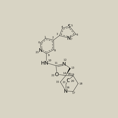 c1cc(-c2cscn2)cc(NC2=NC[C@@]3(CN4CCC3CC4)O2)n1